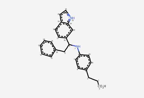 O=C(O)CCc1ccc(NC(Cc2ccccc2)c2ccc3cc[nH]c3c2)cc1